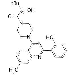 Cc1ccc2c(N3CCN(C(=O)[C@@H](O)C(C)(C)C)CC3)nc(-c3ccccc3O)nc2c1